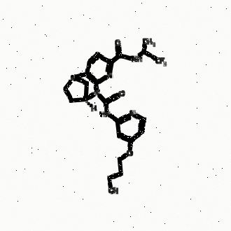 CC(NC(=O)c1ccc2c(n1)N(C(=O)Nc1cc(OCCCO)ccn1)[C@H]1CCN2C1)C(F)(F)F